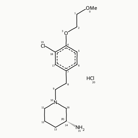 COCCOc1ccc(CCN2CCC[C@@H](N)C2)cc1Cl.Cl